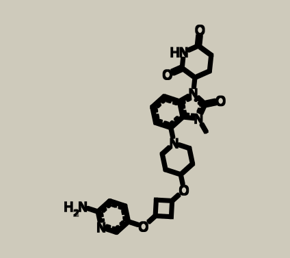 Cn1c(=O)n(C2CCC(=O)NC2=O)c2cccc(N3CCC(OC4CC(Oc5ccc(N)nc5)C4)CC3)c21